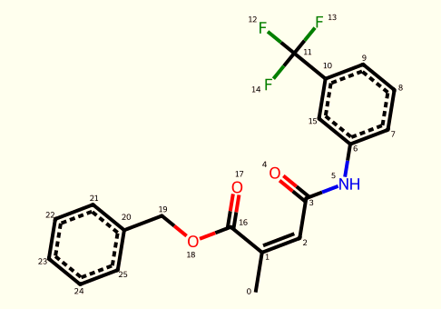 CC(=CC(=O)Nc1cccc(C(F)(F)F)c1)C(=O)OCc1ccccc1